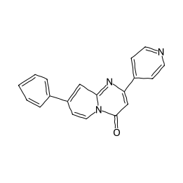 O=c1cc(-c2ccncc2)nc2cc(-c3ccccc3)ccn12